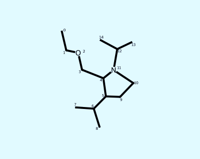 CCOCC1C(C(C)C)CCN1C(C)C